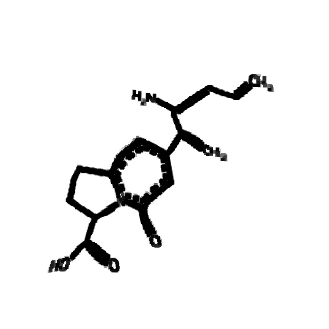 C=C/C=C(/N)C(=C)c1cc2n(c(=O)c1)C(C(=O)O)CC2